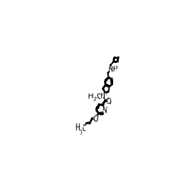 CCCCOc1ccc(C(=O)N(C)[C@@H]2Cc3ccc(CNCC4CCC4)cc3C2)nc1